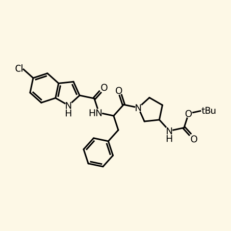 CC(C)(C)OC(=O)NC1CCN(C(=O)C(Cc2ccccc2)NC(=O)c2cc3cc(Cl)ccc3[nH]2)C1